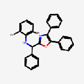 CC(C)c1cccc(C(C)C)c1NC(c1ccccc1)c1nc(-c2ccccc2)c(-c2ccccc2)o1